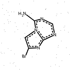 Nc1ncnc2nc(Br)cn12